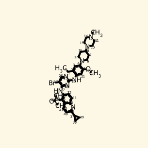 CCc1cc(N2CCC(N3CCN(C)CC3)CC2)c(OC)cc1Nc1ncc(Br)c(Nc2ccc3nc(C4CC4)ccc3c2P(C)(C)=O)n1